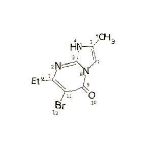 CCc1nc2[nH]c(C)cn2c(=O)c1Br